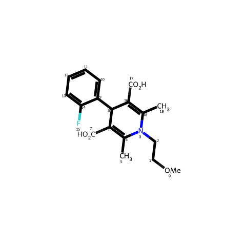 COCCN1C(C)=C(C(=O)O)C(c2ccccc2F)C(C(=O)O)=C1C